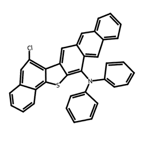 Clc1cc2ccccc2c2sc3c(N(c4ccccc4)c4ccccc4)c4cc5ccccc5cc4cc3c12